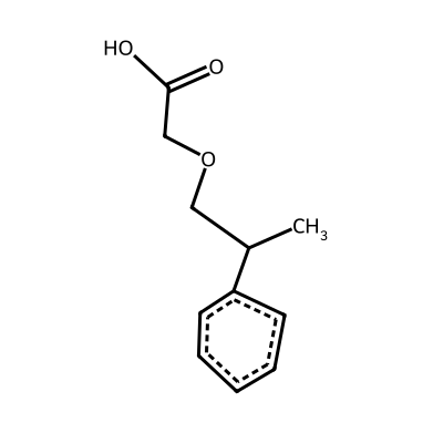 CC(COCC(=O)O)c1ccccc1